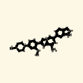 CCOc1cc(N2CCN(CC)CC2)ccc1-c1cn2cc(-c3ccc4cn[nH]c4c3)nc(N)c2n1